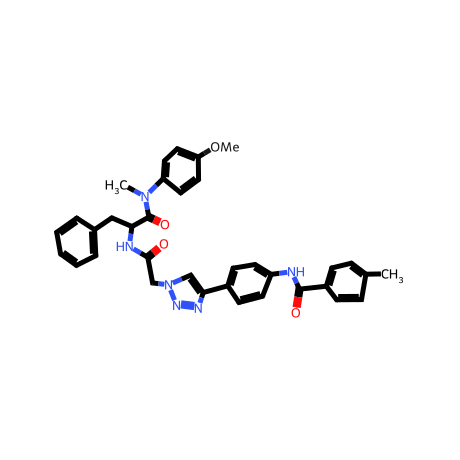 COc1ccc(N(C)C(=O)C(Cc2ccccc2)NC(=O)Cn2cc(-c3ccc(NC(=O)c4ccc(C)cc4)cc3)nn2)cc1